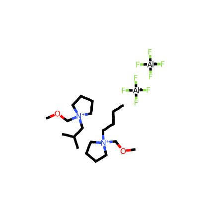 CCCC[N+]1(COC)CCCC1.COC[N+]1(CC(C)C)CCCC1.[F][Al-]([F])([F])[F].[F][Al-]([F])([F])[F]